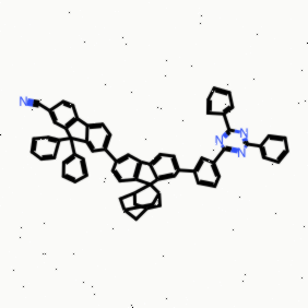 N#Cc1ccc2c(c1)C(c1ccccc1)(c1ccccc1)c1cc(-c3ccc4c(c3)-c3ccc(-c5cccc(-c6nc(-c7ccccc7)nc(-c7ccccc7)n6)c5)cc3C43C4CC5CC(C4)CC3C5)ccc1-2